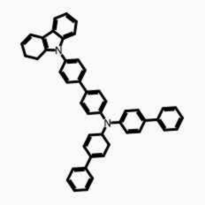 C1=Cc2c(n(-c3ccc(-c4ccc(N(c5ccc(-c6ccccc6)cc5)C5C=CC(c6ccccc6)=CC5)cc4)cc3)c3ccccc23)CC1